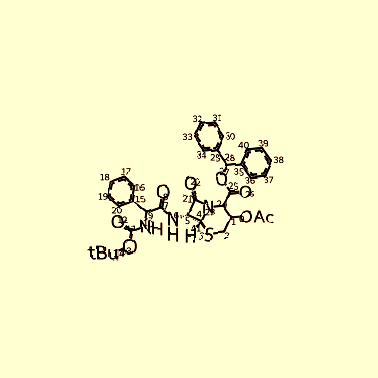 CC(=O)OC1CS[C@@H]2[C@H](NC(=O)C(NC(=O)OC(C)(C)C)c3ccccc3)C(=O)N2[C@H]1C(=O)OC(c1ccccc1)c1ccccc1